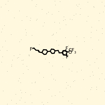 FCCC=CC1CCC(C2CCC(CCc3cc(F)c(OC(F)(F)F)c(F)c3)CC2)CC1